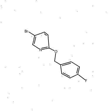 Fc1ccc(COc2ccc(Br)cn2)cc1